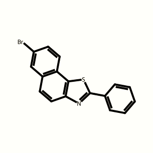 Brc1ccc2c(ccc3nc(-c4ccccc4)sc32)c1